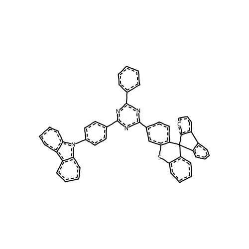 c1ccc(-c2nc(-c3ccc(-n4c5ccccc5c5ccccc54)cc3)nc(-c3ccc4c(c3)Sc3ccccc3C43c4ccccc4-c4ccccc43)n2)cc1